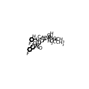 CC(=O)N(NCc1cccc(F)c1Cl)[C@@H](CCCNS(=O)(=O)NC(=O)OC(C)(C)C)CON(C=O)c1cc2cc(F)ccc2cn1